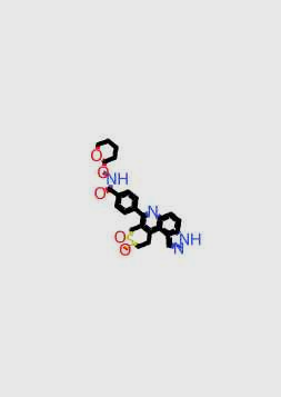 O=C(NOC1CCCCO1)c1ccc(-c2nc3ccc4[nH]ncc4c3c3c2CS(=O)(=O)CC3)cc1